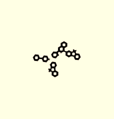 CC1(C)c2ccccc2-c2ccc(-c3c4ccccc4cc4c3oc3cc(N(c5ccc(-c6ccccc6)cc5)c5ccc6c(c5)C(C)(C)c5ccccc5-6)ccc34)cc21